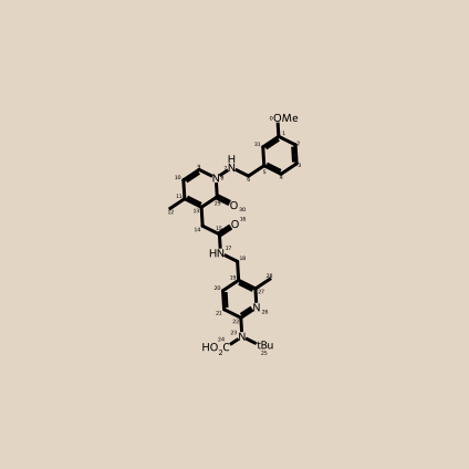 COc1cccc(CNn2ccc(C)c(CC(=O)NCc3ccc(N(C(=O)O)C(C)(C)C)nc3C)c2=O)c1